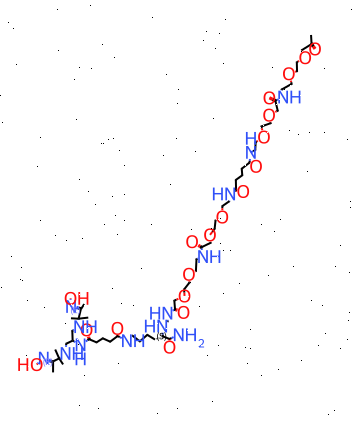 CC(=O)COCCOCCNC(=O)COCCOCCNC(=O)CCCC(=O)NCCOCCOCC(=O)NCCOCCOCC(=O)NCN[C@@H](CCCCNC(=O)CCCC(=O)NC(CNC(C)(C)/C(C)=N/O)CNC(C)(C)/C(C)=N/O)C(N)=O